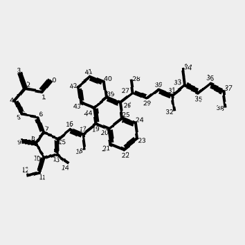 C=CC(=C)/C=C\C=C1/C(=C)/C(=C\C)C(C)=C1/C=C(\C)c1c2ccccc2c(/C(C)=C/C=C(C)/C(C)=C/C=C\C)c2ccccc12